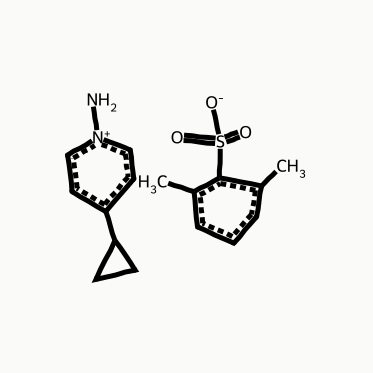 Cc1cccc(C)c1S(=O)(=O)[O-].N[n+]1ccc(C2CC2)cc1